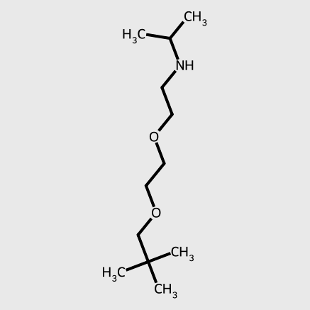 CC(C)NCCOCCOCC(C)(C)C